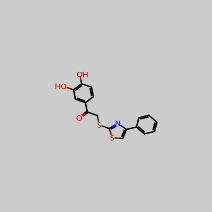 O=C(CSc1nc(-c2ccccc2)cs1)c1ccc(O)c(O)c1